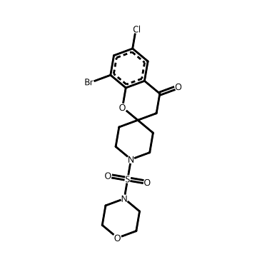 O=C1CC2(CCN(S(=O)(=O)N3CCOCC3)CC2)Oc2c(Br)cc(Cl)cc21